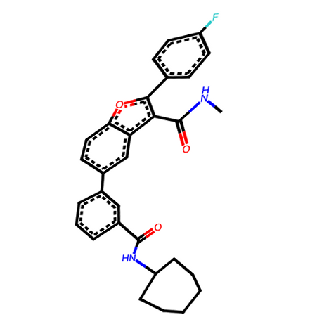 CNC(=O)c1c(-c2ccc(F)cc2)oc2ccc(-c3cccc(C(=O)NC4CCCCCC4)c3)cc12